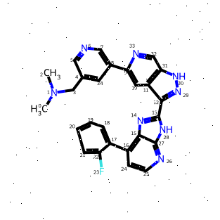 CN(C)Cc1cncc(-c2cc3c(-c4nc5c(-c6ccccc6F)ccnc5[nH]4)n[nH]c3cn2)c1